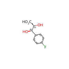 O=C(O)[C@@H](O)[C@H](O)c1ccc(F)cc1